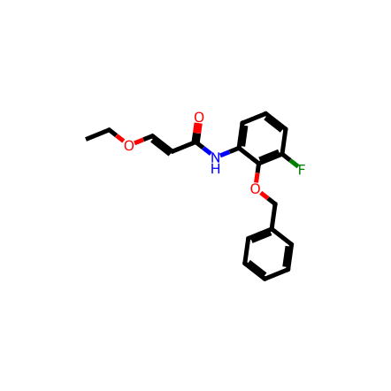 CCOC=CC(=O)Nc1cccc(F)c1OCc1ccccc1